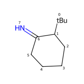 CC(C)(C)C1CCCCC1=N